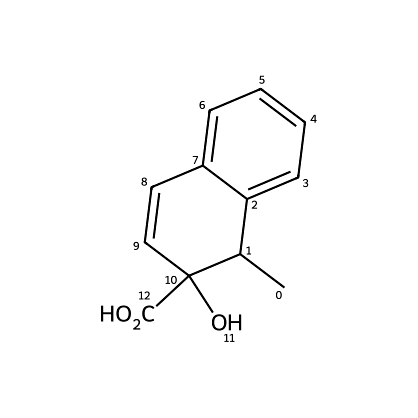 CC1c2ccccc2C=CC1(O)C(=O)O